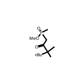 CCCCC(C)(C)C(=O)CP(C)(=O)OC